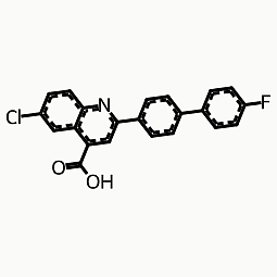 O=C(O)c1cc(-c2ccc(-c3ccc(F)cc3)cc2)nc2ccc(Cl)cc12